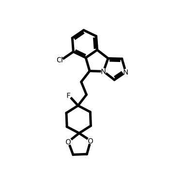 FC1(CCC2c3c(Cl)cccc3-c3cncn32)CCC2(CC1)OCCO2